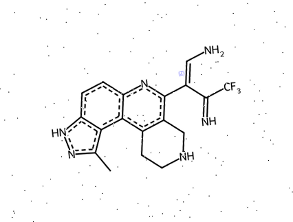 Cc1n[nH]c2ccc3nc(/C(=C/N)C(=N)C(F)(F)F)c4c(c3c12)CCNC4